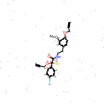 C#CCOc1ccc(CCNC(=O)C(S)(OCC#C)c2ccc(F)cc2)cc1OC